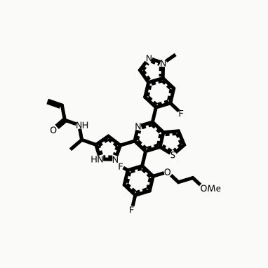 C=CC(=O)NC(C)c1cc(-c2nc(-c3cc4cnn(C)c4cc3F)c3ccsc3c2-c2c(F)cc(F)cc2OCCOC)n[nH]1